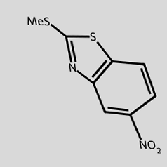 CSc1nc2cc([N+](=O)[O-])ccc2s1